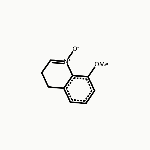 COc1cccc2c1[N+]([O-])=CCC2